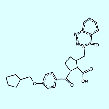 O=C(c1ccc(OCC2CCCC2)cc1)C1CCC(Cn2nnc3ccccc3c2=O)C1C(=O)O